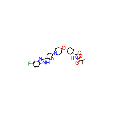 CC(C)S(=O)(=O)NC(=O)[C@H]1CC[C@H](OC2CCN(c3ccc(-c4nc5cc(F)ccc5[nH]4)cn3)CC2)CC1